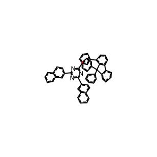 c1ccc(C2(c3ccccc3)c3ccccc3-c3cccc(-c4cccc(-c5nc(-c6ccc7ccccc7c6)nc(-c6ccc7ccccc7c6)n5)c4)c32)cc1